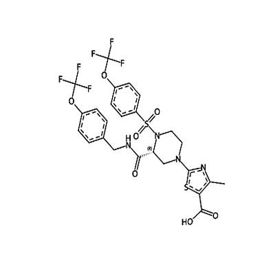 Cc1nc(N2CCN(S(=O)(=O)c3ccc(OC(F)(F)F)cc3)[C@@H](C(=O)NCc3ccc(OC(F)(F)F)cc3)C2)sc1C(=O)O